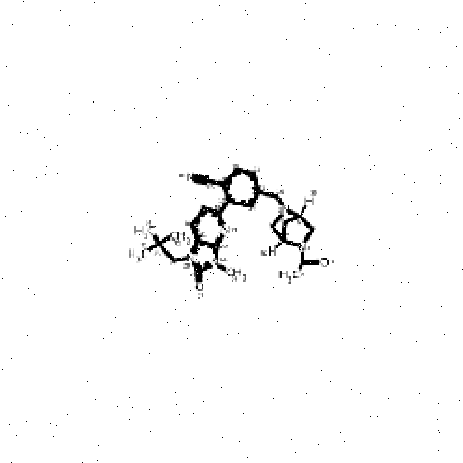 CC(=O)N1C[C@@H]2C[C@H]1CN2Cc1ccc(C#N)c(-c2ccc3c(n2)n(C)c(=O)n3CC(C)(C)C)c1